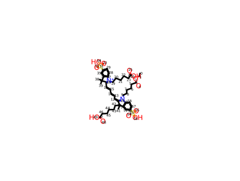 CCOC(=O)CCCCCN1\C(=C/C=C/C=C/C2=[N+](CCCCCC(=O)O)c3ccc(S(=O)(=O)O)cc3C2(C)C)C(C)(CCCCCC(=O)O)c2cc(S(=O)(=O)O)ccc21